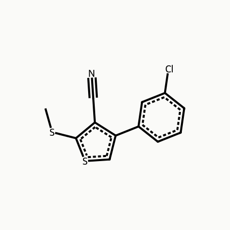 CSc1scc(-c2cccc(Cl)c2)c1C#N